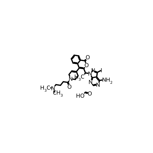 CC(c1oc(=O)c2ccccc2c1C1=CCN(C(=O)CCCN(C)C)CC1)n1nc(I)c2c(N)ncnc21.O=CO